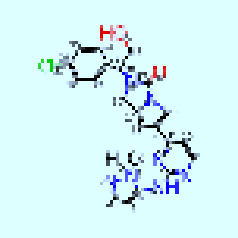 Cn1nccc1Nc1nccc(-c2cc3n(c2)C(=O)N(C(CO)c2ccc(Cl)cc2)C3)n1